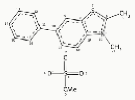 COS(=O)(=O)[O-].Cc1sc2cc(-c3ccccc3)ccc2[n+]1C